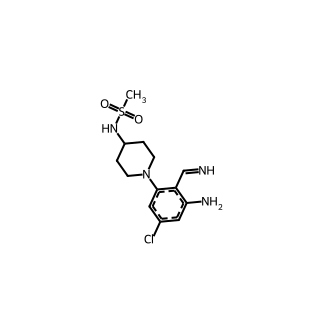 CS(=O)(=O)NC1CCN(c2cc(Cl)cc(N)c2C=N)CC1